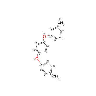 Cc1ccc(Oc2ccc(Oc3cccc(C)c3)cc2)cc1